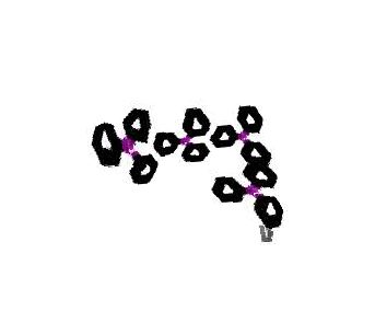 [Li].c1ccc(P(c2ccccc2)c2ccccc2)cc1.c1ccc(P(c2ccccc2)c2ccccc2)cc1.c1ccc(P(c2ccccc2)c2ccccc2)cc1.c1ccc(P(c2ccccc2)c2ccccc2)cc1